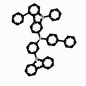 c1ccc(-c2ccc(N(c3cccc(-n4c5ccccc5c5ccccc54)c3)c3ccc4c5c(-c6ccccc6)cccc5n(-c5ccccc5)c4c3)cc2)cc1